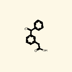 O=C(O)Cc1cccc(C(Cl)c2ccccc2)c1